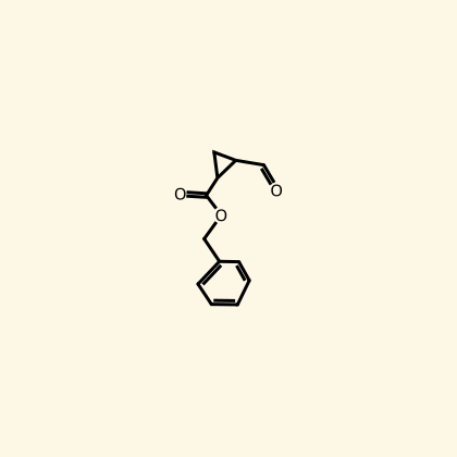 O=CC1CC1C(=O)OCc1ccccc1